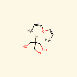 C/C=C\O/C=C\C.CCC(CO)(CO)CO